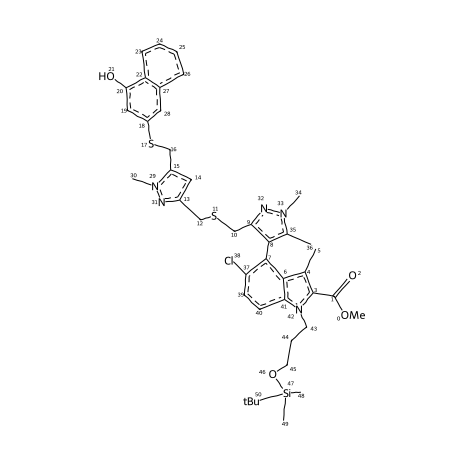 COC(=O)c1c(C)c2c(-c3c(CSCc4cc(CSc5cc(O)c6ccccc6c5)n(C)n4)nn(C)c3C)c(Cl)ccc2n1CCCO[Si](C)(C)C(C)(C)C